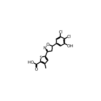 Cc1cc(C2=NOC(c3cc(O)c(Cl)c(Cl)c3)C2)sc1C(=O)O